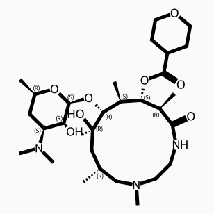 C[C@H]1CN(C)CCNC(=O)[C@H](C)[C@@H](OC(=O)C2CCOCC2)[C@H](C)[C@@H](O[C@@H]2O[C@H](C)C[C@H](N(C)C)[C@H]2O)[C@](C)(O)C1